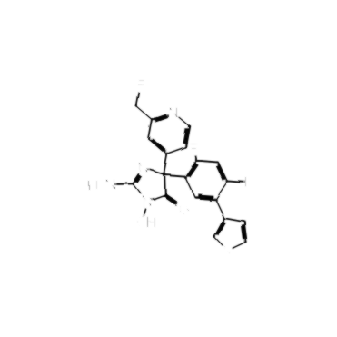 CN1C(=O)C(c2ccnc(CF)c2)(c2cc(-c3ccsc3)c(F)cc2F)N=C1N